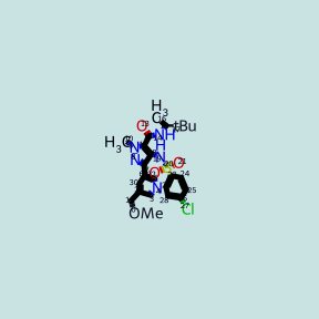 COCc1cncc(-c2nn(C)c(C(=O)N[C@@H](C)C(C)(C)C)c2NS(=O)(=O)c2ccc(Cl)cc2)c1